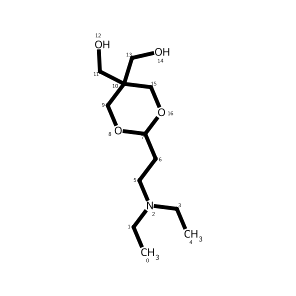 CCN(CC)CCC1OCC(CO)(CO)CO1